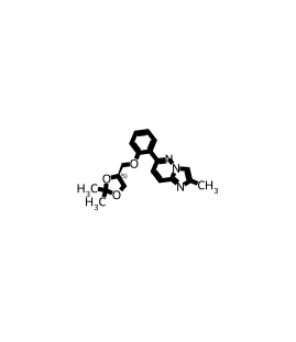 Cc1cn2nc(-c3ccccc3OC[C@H]3COC(C)(C)O3)ccc2n1